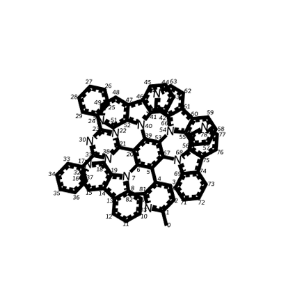 Cc1ccc(-c2c(-n3c4ccccc4c4ccncc43)c(-c3nc(-c4ccccc4)nc(-c4ccccc4)n3)c(-n3c4ccccc4c4ccncc43)c(-n3c4ccccc4c4ccncc43)c2-n2c3ccccc3c3ccncc32)c(C)n1